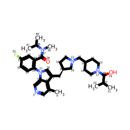 Cc1cncc2c1c(C[C@H]1CCN(CC3CCN(C(O)C(C)C)CC3)C1)cn2-c1ccc(F)cc1C(=O)N(C)C(C)C